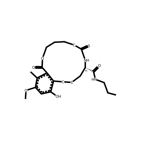 CCCNC(=O)[C@@H]1CSCc2c(O)cc(OC)c(C)c2C(=O)OCCCCC(=S)N1